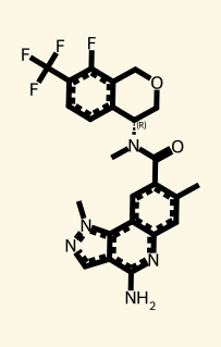 Cc1cc2nc(N)c3cnn(C)c3c2cc1C(=O)N(C)[C@H]1COCc2c1ccc(C(F)(F)F)c2F